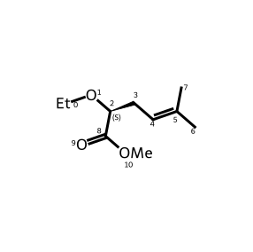 CCO[C@@H](CC=C(C)C)C(=O)OC